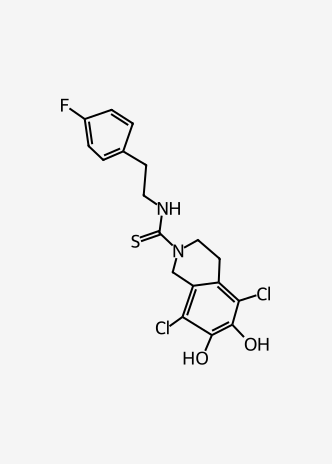 Oc1c(O)c(Cl)c2c(c1Cl)CCN(C(=S)NCCc1ccc(F)cc1)C2